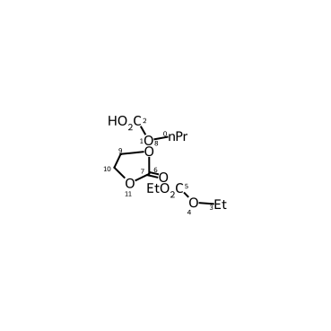 CCCOC(=O)O.CCOC(=O)OCC.O=C1OCCO1